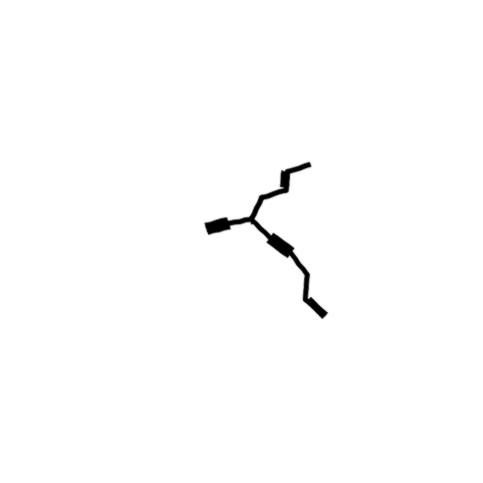 C#C[C](C#CCC=C)CC=CC